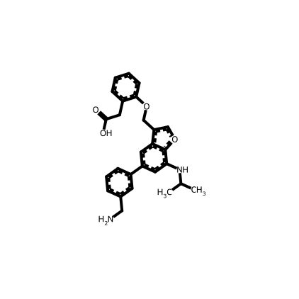 CC(C)Nc1cc(-c2cccc(CN)c2)cc2c(COc3ccccc3CC(=O)O)coc12